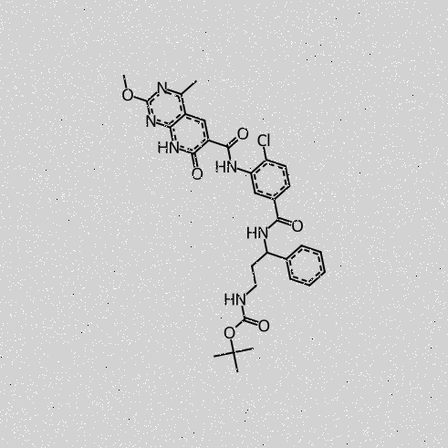 COc1nc(C)c2cc(C(=O)Nc3cc(C(=O)NC(CCNC(=O)OC(C)(C)C)c4ccccc4)ccc3Cl)c(=O)[nH]c2n1